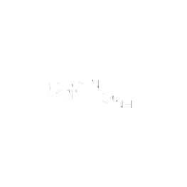 CCc1cc(CC(=O)/C=C2\CCC(c3ccc(NC)cc3)=NC2)c(Cl)cc1OC